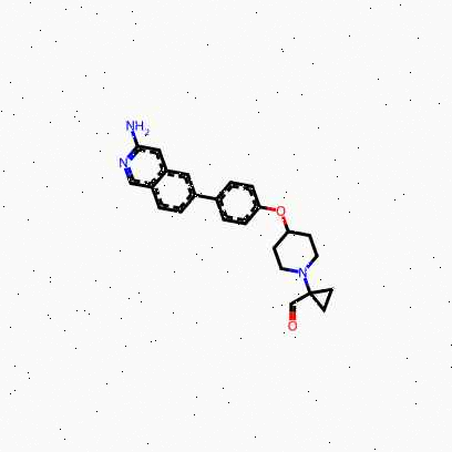 Nc1cc2cc(-c3ccc(OC4CCN(C5(C=O)CC5)CC4)cc3)ccc2cn1